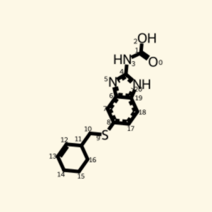 O=C(O)Nc1nc2cc(SCC3C=CCCC3)ccc2[nH]1